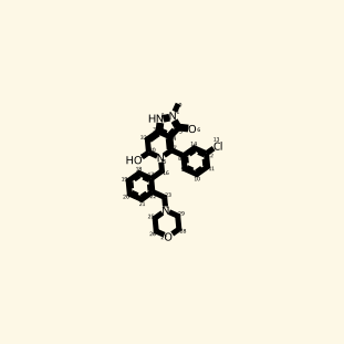 Cn1[nH]c2c(c1=O)=C(c1cccc(Cl)c1)N(Cc1ccccc1CN1CCOCC1)C(O)C=2